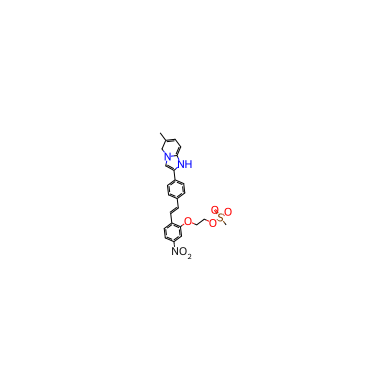 CC1=CC=C2NC(c3ccc(C=Cc4ccc([N+](=O)[O-])cc4OCCOS(C)(=O)=O)cc3)=CN2C1